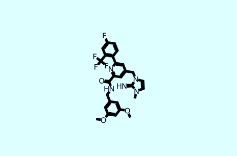 COc1cc(CNC(=O)c2cc(Cn3ccn(C)c3=N)cc(-c3ccc(F)cc3C(F)(F)F)n2)cc(OC)c1